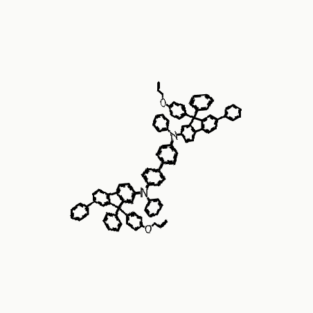 C=CCOc1ccc(C2(c3ccccc3)c3cc(-c4ccccc4)ccc3-c3ccc(N(c4ccccc4)c4ccc(-c5ccc(N(c6ccccc6)c6ccc7c(c6)C(c6ccccc6)(c6ccc(OCC=C)cc6)c6cc(-c8ccccc8)ccc6-7)cc5)cc4)cc32)cc1